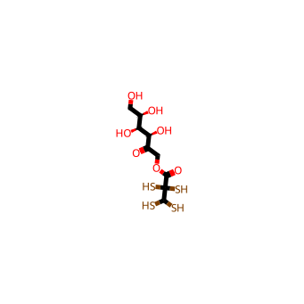 O=C(COC(=O)C(S)(S)C(S)S)[C@H](O)[C@@H](O)[C@H](O)CO